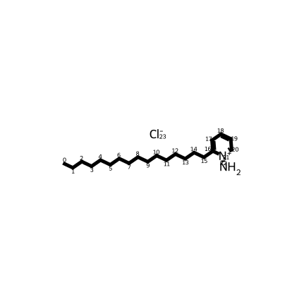 CCCCCCCCCCCCCCCCc1cccc[n+]1N.[Cl-]